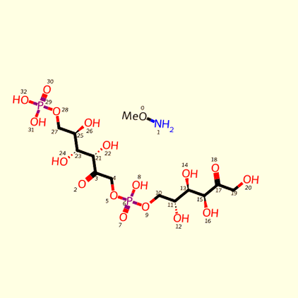 CON.O=C(COP(=O)(O)OC[C@@H](O)[C@@H](O)[C@H](O)C(=O)CO)[C@@H](O)[C@H](O)[C@H](O)COP(=O)(O)O